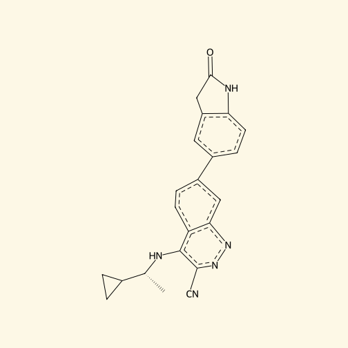 C[C@@H](Nc1c(C#N)nnc2cc(-c3ccc4c(c3)CC(=O)N4)ccc12)C1CC1